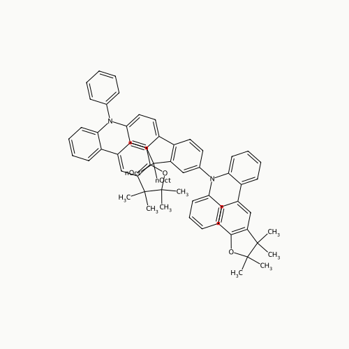 CCCCCCCCC1(CCCCCCCC)c2cc(N(c3ccccc3)c3ccccc3-c3ccc4c(c3)C(C)(C)C(C)(C)O4)ccc2-c2ccc(N(c3ccccc3)c3ccccc3-c3ccc4c(c3)C(C)(C)C(C)(C)O4)cc21